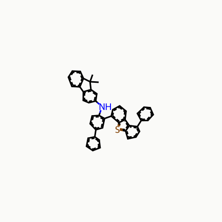 CC1(C)c2ccccc2-c2ccc(Nc3ccc(-c4ccccc4)cc3-c3cccc4c3sc3cccc(-c5ccccc5)c34)cc21